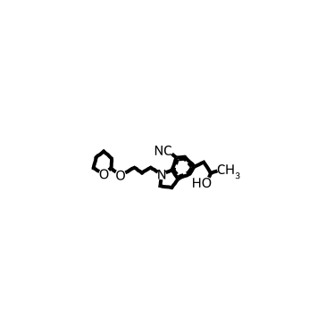 CC(O)Cc1cc(C#N)c2c(c1)CCN2CCCOC1CCCCO1